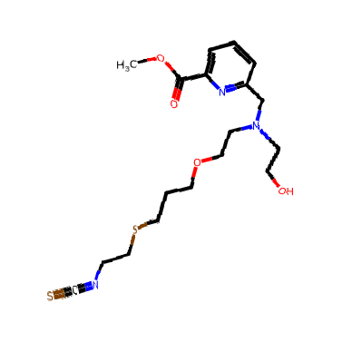 COC(=O)c1cccc(CN(CCO)CCOCCCSCCN=C=S)n1